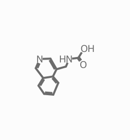 O=C(O)NCc1cncc2ccccc12